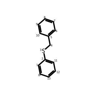 [c]1[c]c(SCc2ccccc2)ccc1